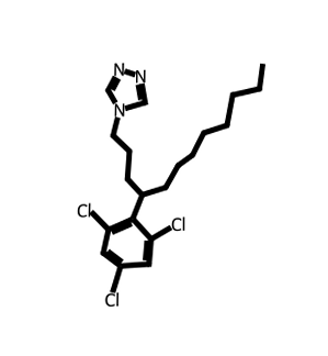 CCCCCCCCC(CCCn1cnnc1)c1c(Cl)cc(Cl)cc1Cl